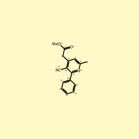 COC(=O)Cc1cc(C)nc(-c2ccccc2)c1C#N